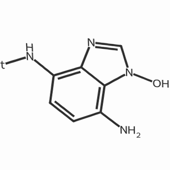 CCNc1ccc(N)c2c1ncn2O